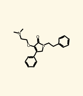 CN(C)CCOC1=C(c2ccccc2)CN(CCc2ccccc2)C1=O